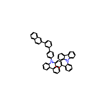 c1ccc(-c2ccccc2N(c2ccc(-c3cccc(-c4ccc5ccccc5c4)c3)cc2)c2ccc(-c3ccccc3-n3c4ccccc4c4ccccc43)cc2)cc1